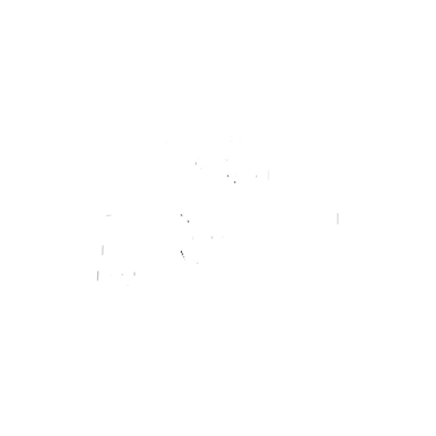 CN(C(=O)OCC1c2ccccc2-c2ccccc21)C(Cc1ccc(Cl)cc1)CN(CCC(F)F)C(=O)C(CC(=O)O)[C@H]1CCc2ccccc21